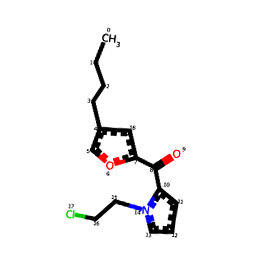 CCCCc1coc(C(=O)c2cccn2CCCl)c1